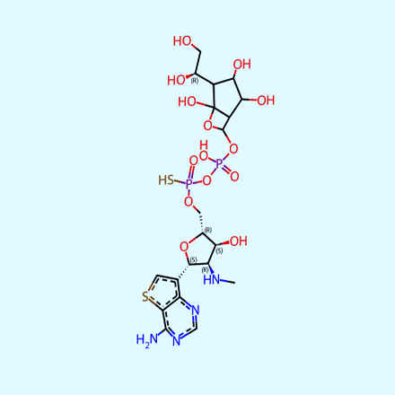 CN[C@@H]1[C@H](O)[C@@H](COP(=O)(S)OP(=O)(O)OC2OC3(O)C2C(O)C(O)C3[C@@H](O)CO)O[C@H]1c1csc2c(N)ncnc12